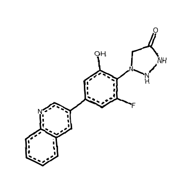 O=C1CN(c2c(O)cc(-c3cnc4ccccc4c3)cc2F)NN1